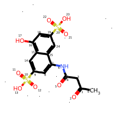 CC(=O)CC(=O)Nc1cc(S(=O)(=O)O)cc2c(O)cc(S(=O)(=O)O)cc12